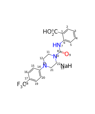 O=C(O)c1ccccc1NC(=O)N1CCN(c2ccc(C(F)(F)F)cc2)CC1.[NaH]